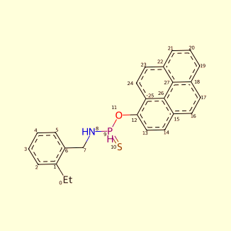 CCc1ccccc1CN[PH](=S)Oc1ccc2ccc3cccc4ccc1c2c34